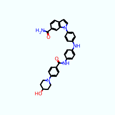 NC(=O)c1ccc2ccn(-c3ccc(Nc4ccc(NC(=O)c5ccc(N6CCC(O)CC6)cc5)cc4)cc3)c2c1